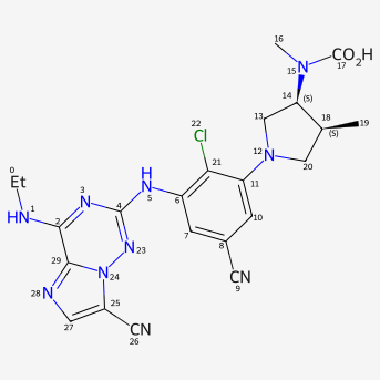 CCNc1nc(Nc2cc(C#N)cc(N3C[C@@H](N(C)C(=O)O)[C@@H](C)C3)c2Cl)nn2c(C#N)cnc12